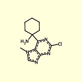 Cn1cnc2nc(Cl)nc(C3(N)CCCCC3)c21